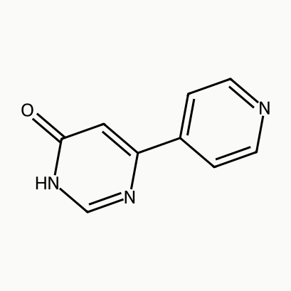 O=c1cc(-c2ccncc2)nc[nH]1